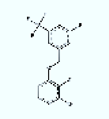 [O]c1cccc(OCc2cc(F)cc(C(F)(F)F)c2)c1F